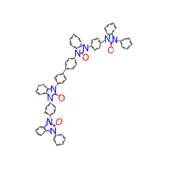 O=c1n(-c2ccccc2)c2ccccc2n1-c1ccc(-n2c(=O)n(-c3ccc(-c4ccc(-n5c(=O)n(-c6ccc(-n7c(=O)n(-c8ccccc8)c8ccccc87)cc6)c6ccccc65)cc4)cc3)c3ccccc32)cc1